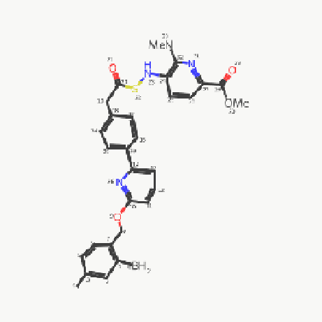 Bc1cc(C)ccc1COc1cccc(-c2ccc(CC(=O)SNc3ccc(C(=O)OC)nc3NC)cc2)n1